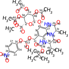 COC(=O)[C@H]1O[C@@H](Oc2cc(COC(=O)Oc3ccc([N+](=O)[O-])cc3)ccc2NC(=O)C(C)NC(=O)C(NC(=O)OC(C)(C)C)C(C)C)[C@H](OC(C)=O)[C@@H](OC(C)=O)[C@@H]1OC(C)=O